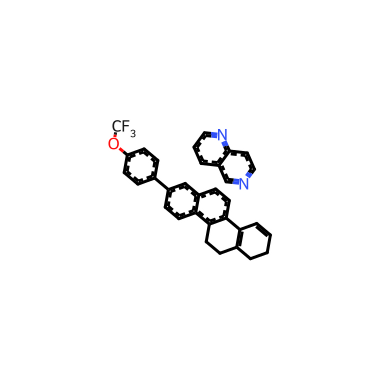 FC(F)(F)Oc1ccc(-c2ccc3c4c(ccc3c2)C2=C(CCC=C2)CC4)cc1.c1cnc2ccncc2c1